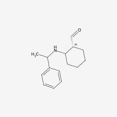 CC(NC1CCCC[C@H]1C=O)c1ccccc1